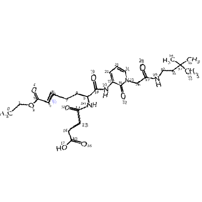 CCOC(=O)/C=C/CCC(NC(=O)CCC(=O)O)C(=O)Nc1cccn(CC(=O)NCCC(C)(C)C)c1=O